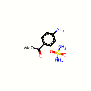 COC(=O)c1ccc(N)cc1.NS(N)(=O)=O